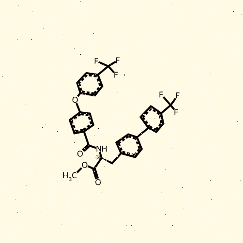 COC(=O)[C@H](Cc1ccc(-c2ccc(C(F)(F)F)cc2)cc1)NC(=O)c1ccc(Oc2ccc(C(F)(F)F)cc2)cc1